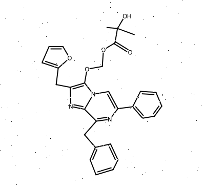 CC(C)(O)C(=O)OCOc1c(Cc2ccco2)nc2c(Cc3ccccc3)nc(-c3ccccc3)cn12